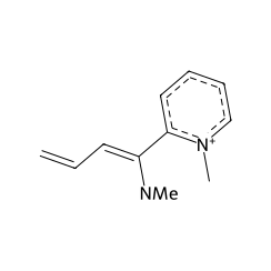 C=C/C=C(\NC)c1cccc[n+]1C